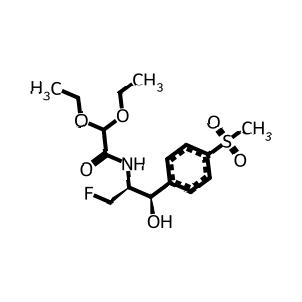 CCOC(OCC)C(=O)N[C@H](CF)[C@H](O)c1ccc(S(C)(=O)=O)cc1